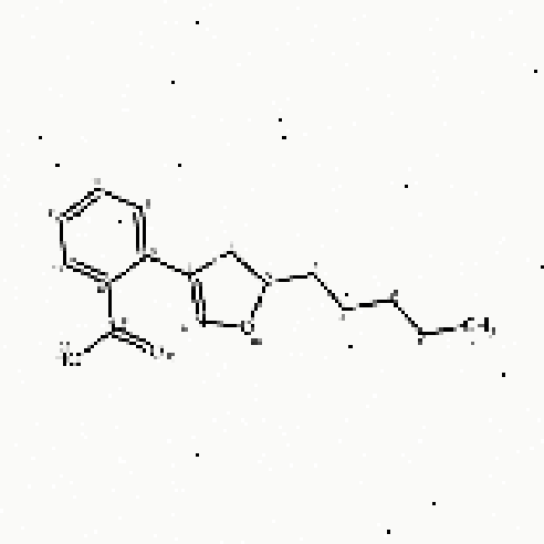 CCCCCC1CC(c2ccccc2C(=O)O)=NO1